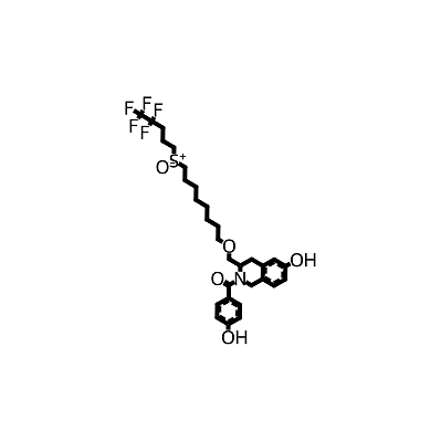 O=C(c1ccc(O)cc1)N1Cc2ccc(O)cc2CC1COCCCCCCCC[S+]([O-])CCCC(F)(F)C(F)(F)F